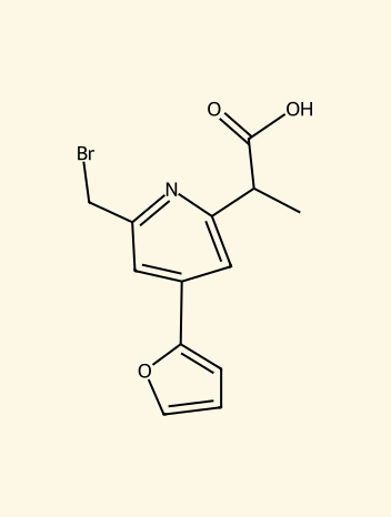 CC(C(=O)O)c1cc(-c2ccco2)cc(CBr)n1